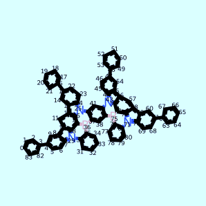 c1ccc(-c2ccc3c(c2)c2cc4c5cc(-c6ccccc6)ccc5n5c4c4c2n3-c2ccccc2B4c2cc3c(cc2-5)-n2c4ccc(-c5ccccc5)cc4c4cc5c6cc(-c7ccccc7)ccc6n6c5c(c42)B3c2ccccc2-6)cc1